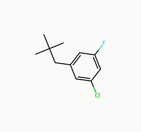 CC(C)(C)Cc1cc(F)cc(Cl)c1